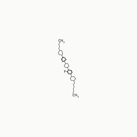 CCCCCCCC1CCC(c2ccc(C3CCC(c4ccc(C5CCC(CCCCC)CC5)cc4)CC3)c(F)c2)CC1